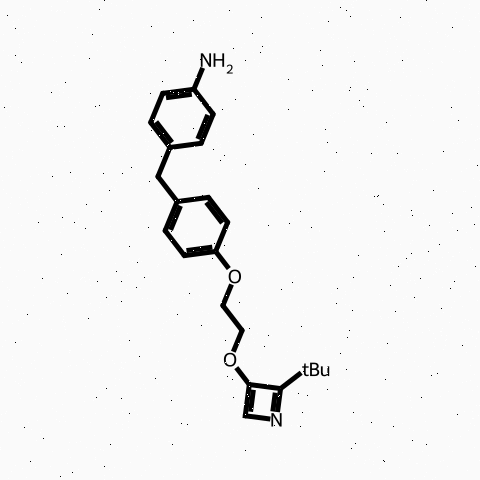 CC(C)(C)C1=NC=C1OCCOc1ccc(Cc2ccc(N)cc2)cc1